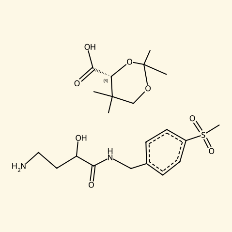 CC1(C)OCC(C)(C)[C@H](C(=O)O)O1.CS(=O)(=O)c1ccc(CNC(=O)C(O)CCN)cc1